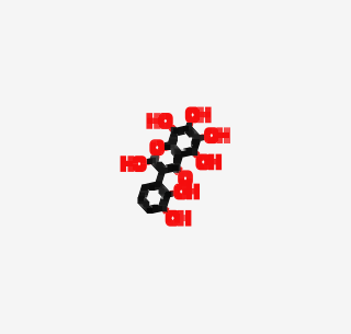 O=c1c(-c2cccc(O)c2O)c(O)oc2c(O)c(O)c(O)c(O)c12